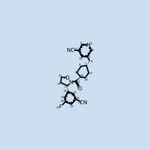 N#Cc1cncc(C[C@H]2CC[C@H](C(=O)N3OCC[C@H]3c3cc(F)cc(C#N)c3)CC2)c1